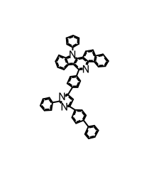 c1ccc(-c2ccc(-c3cc(-c4ccc(-c5nc6c7ccccc7ccc6c6c5c5ccccc5n6-c5ccccc5)cc4)nc(-c4ccccc4)n3)cc2)cc1